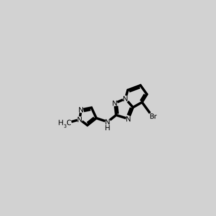 Cn1cc(Nc2nc3c(Br)cccn3n2)cn1